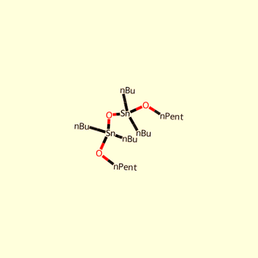 CCCCC[O][Sn]([CH2]CCC)([CH2]CCC)[O][Sn]([CH2]CCC)([CH2]CCC)[O]CCCCC